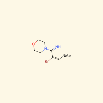 CN/C=C(/Br)C(=N)N1CCOCC1